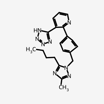 CCCCc1nc(C)nn1Cc1ccc(-c2ncccc2-c2nnn[nH]2)cc1